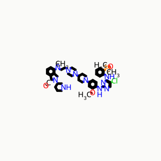 COc1cc(N2CCC(N3CCN(CCN(C)c4cccc5c4CN(C4CCCNC4)C5=C=O)CC3)CC2)ccc1Nc1ncc(Cl)c(Nc2ccccc2P(C)(C)=O)n1